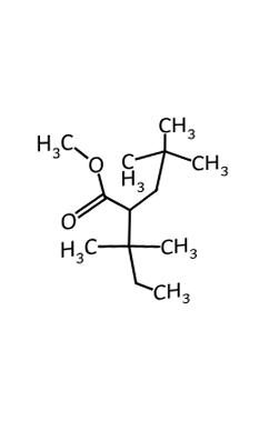 CCC(C)(C)C(CC(C)(C)C)C(=O)OC